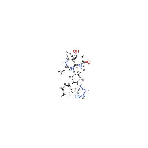 Cc1nc(C)c2c(O)cc(=O)n(Cc3ccc(-c4ccccc4-c4nnn[nH]4)cc3)c2n1